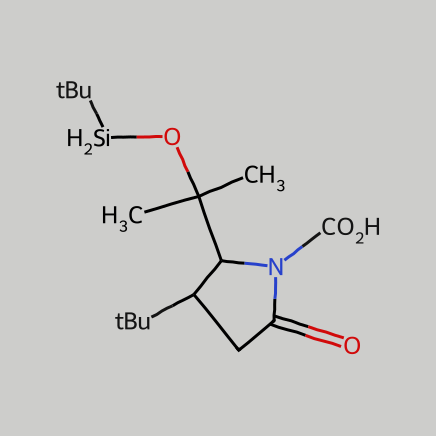 CC(C)(C)[SiH2]OC(C)(C)C1C(C(C)(C)C)CC(=O)N1C(=O)O